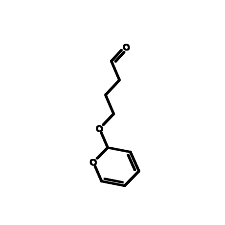 O=CCCCOC1C=CC=CO1